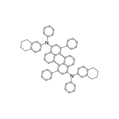 c1ccc(-c2cc(N(c3ccccc3)c3ccc4c(c3)CCCC4)c3cccc4c5c(-c6ccccc6)cc(N(c6ccccc6)c6ccc7c(c6)CCCC7)c6cccc(c2c34)c65)cc1